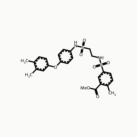 COC(=O)c1cc(S(=O)(=O)NCCS(=O)(=O)Nc2ccc(Oc3ccc(C)c(C)c3)cc2)ccc1C